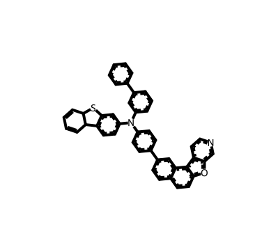 C1=CC2Sc3cc(N(c4ccc(-c5ccc6ccc7oc8cnccc8c7c6c5)cc4)c4cccc(-c5ccccc5)c4)ccc3C2C=C1